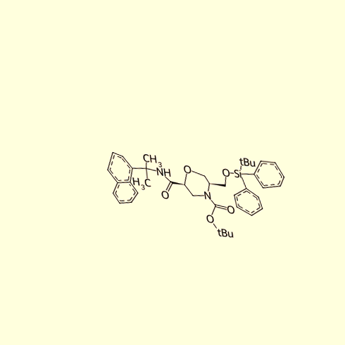 CC(C)(C)OC(=O)N1C[C@@H](C(=O)NC(C)(C)c2cccc3ccccc23)OC[C@H]1CO[Si](c1ccccc1)(c1ccccc1)C(C)(C)C